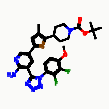 COc1ccc(-n2nnnc2-c2cc(-c3cc(C)c(C4CCN(C(=O)OC(C)(C)C)CC4)s3)cnc2N)c(F)c1F